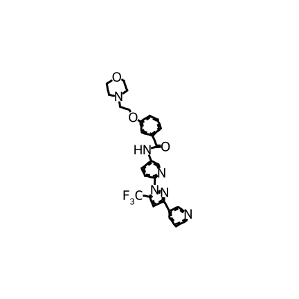 O=C(Nc1ccc(-n2nc(-c3cccnc3)cc2C(F)(F)F)nc1)c1cccc(OCCN2CCOCC2)c1